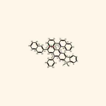 C[Si]1(C)c2ccccc2-c2cc3c(-c4c(-c5ccccc5)ccc5ccccc45)c4ccc(-c5ccc6ccccc6c5)cc4c(-c4ccccc4)c3cc21